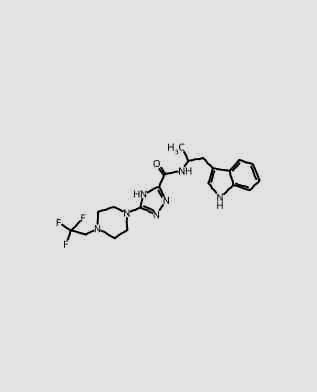 CC(Cc1c[nH]c2ccccc12)NC(=O)c1nnc(N2CCN(CC(F)(F)F)CC2)[nH]1